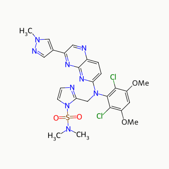 COc1cc(OC)c(Cl)c(N(Cc2nccn2S(=O)(=O)N(C)C)c2ccc3ncc(-c4cnn(C)c4)nc3n2)c1Cl